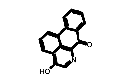 O=C1c2ccccc2-c2cccc3c(O)cnc1c23